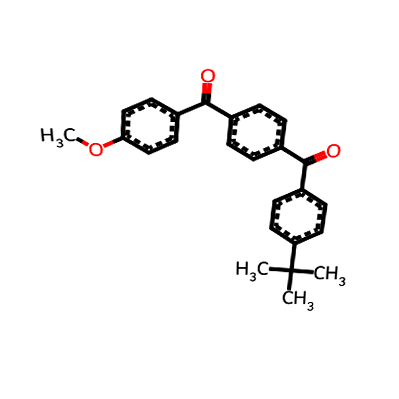 COc1ccc(C(=O)c2ccc(C(=O)c3ccc(C(C)(C)C)cc3)cc2)cc1